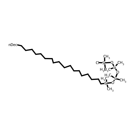 CCCCCCCCCCCCCCCCCCCCCCCCCCCC[Si](C)(C)O[Si](C)(C)O[Si](C)(C)O[Si](C)(C)Cl